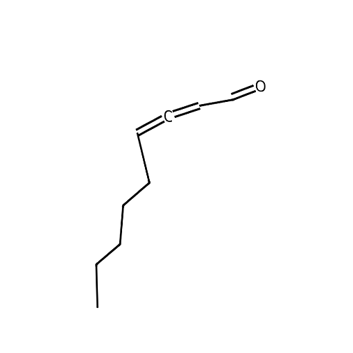 CCCCCC=C=CC=O